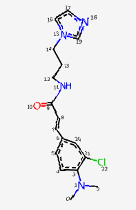 CN(C)c1ccc(/C=C/C(=O)NCCCn2ccnc2)cc1Cl